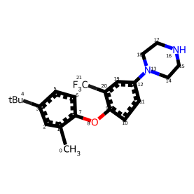 Cc1cc(C(C)(C)C)ccc1Oc1ccc(N2CCNCC2)cc1C(F)(F)F